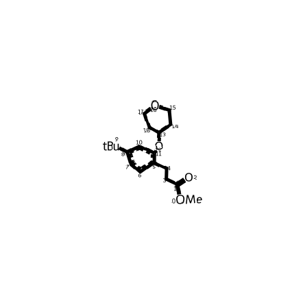 COC(=O)CCc1ccc(C(C)(C)C)cc1OC1CCOCC1